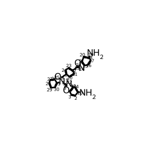 Nc1ccc2oc(-[n+]3c(-c4ccc(-c5nc6ccc(N)cc6o5)cc4)oc4ccccc43)nc2c1